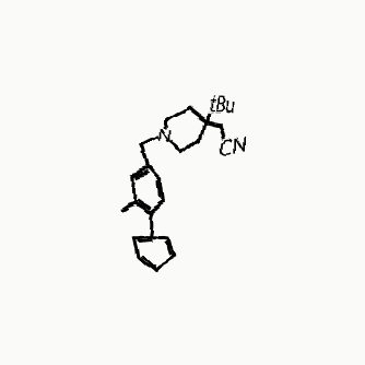 Cc1cc(CN2CCC(CC#N)(C(C)(C)C)CC2)ccc1-c1ccccc1